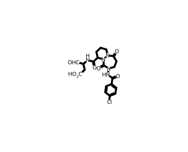 O=CC(CC(=O)O)NC(=O)C1CCCN2C(=O)CCN(NC(=O)c3ccc(Cl)cc3)C(=O)N12